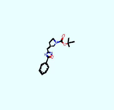 CC(C)(C)OC(=O)N1CCC(=Cc2noc(-c3ccccc3)n2)C1